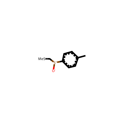 CSC[S+]([O-])c1ccc(C)cc1